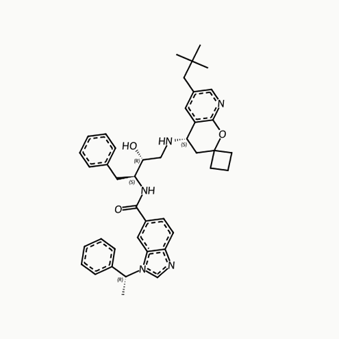 C[C@H](c1ccccc1)n1cnc2ccc(C(=O)N[C@@H](Cc3ccccc3)[C@H](O)CN[C@H]3CC4(CCC4)Oc4ncc(CC(C)(C)C)cc43)cc21